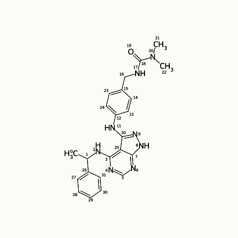 CC(Nc1ncnc2[nH]nc(Nc3ccc(CNC(=O)N(C)C)cc3)c12)c1ccccc1